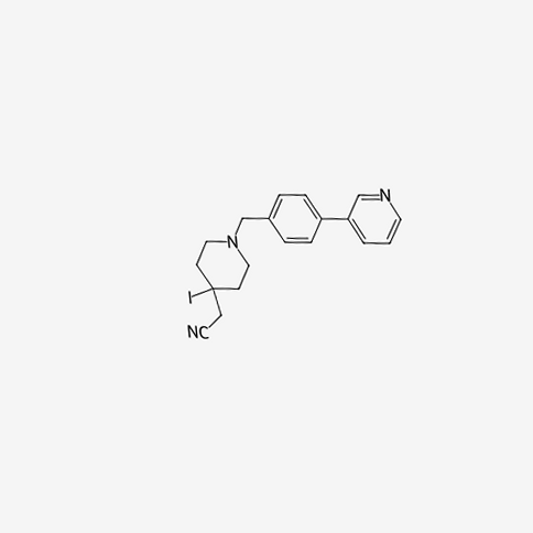 N#CCC1(I)CCN(Cc2ccc(-c3cccnc3)cc2)CC1